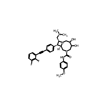 COc1ccc(NC(=O)N2CC(O)C(O)CN3[C@H](CN(C)C)[C@H](c4ccc(C#Cc5cccc(F)c5F)cc4)[C@@H]3C2)cc1